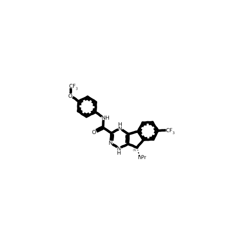 CCC[C@@H]1C2=C(NC(C(=O)Nc3ccc(OC(F)(F)F)cc3)=NN2)c2ccc(C(F)(F)F)cc21